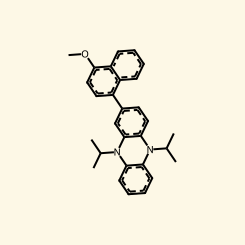 COc1ccc(-c2ccc3c(c2)N(C(C)C)c2ccccc2N3C(C)C)c2ccccc12